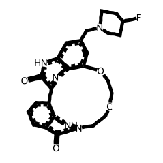 O=c1[nH]c2cc(CN3CCC(F)CC3)cc3c2nc1-c1cccc2c(=O)n([nH]c12)CCCCCO3